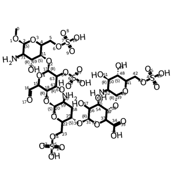 CO[C@H]1OC(COS(=O)(=O)O)[C@@H](O[C@@H]2OC(C=O)[C@H](O[C@@H]3OC(COS(=O)(=O)O)[C@@H](O[C@@H]4OC(C(=O)O)[C@@H](O[C@H]5OC(COS(=O)(=O)O)[C@@H](O)[C@H](O)C5N)[C@H](O)C4O)CC3N)[C@@H](O)C2OS(=O)(=O)O)[C@H](O)C1N